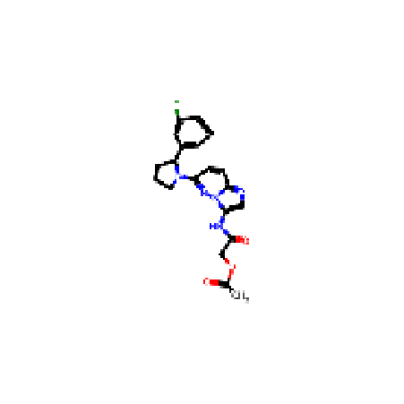 CC(=O)OCC(=O)Nc1cnc2ccc(N3CCCC3c3cccc(F)c3)nn12